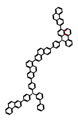 c1ccc(-c2cccc(N(c3ccc(-c4ccc5c(ccc6ccccc65)c4)cc3)c3ccc(-c4ccc5c(ccc6c(-c7ccc8c(ccc9cc(-c%10ccc(N(c%11ccc(-c%12ccc%13c(ccc%14ccccc%14%13)c%12)cc%11)c%11ccccc%11-c%11ccccc%11)cc%10)ccc98)c7)cccc65)c4)cc3)c2)cc1